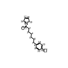 O=C(CCCCCCc1ccc(Cl)cc1)N1CC=CC1